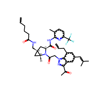 C=CCCCC(=O)NC[C@@]12C[C@@H](C(=O)Nc3nc(C(F)(F)F)ccc3C)N(C(=O)Cn3nc(C(C)=O)c4cc(C=C(C)C)cc(CC=C)c43)[C@@H]1C2